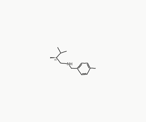 Cc1ccc(CNC[C@@H](C)C(C)C)cc1